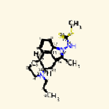 CCCN1CCC[C@@H]2c3cccc4c3c(c(C)n4NC(=S)SC)C[C@H]21